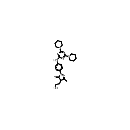 CC1=NN(c2ccc(Nc3nc(N4CCCCC4)nc(N4CCCCC4)n3)cc2)C(=O)C1CCO